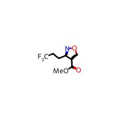 COC(=O)c1conc1CCC(F)(F)F